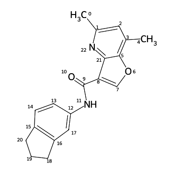 Cc1cc(C)c2occ(C(=O)Nc3ccc4c(c3)CCC4)c2n1